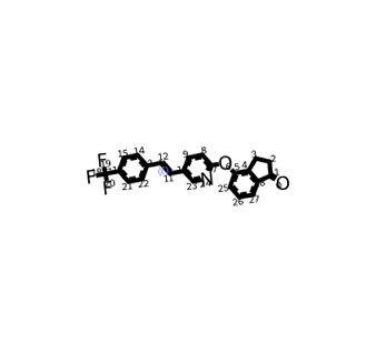 O=C1CCc2c(Oc3ccc(/C=C/c4ccc(C(F)(F)F)cc4)cn3)cccc21